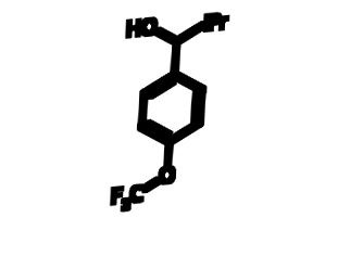 CC(C)C(O)c1ccc(OC(F)(F)F)cc1